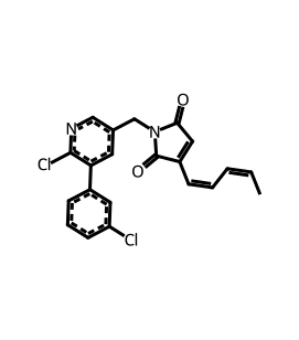 C/C=C\C=C/C1=CC(=O)N(Cc2cnc(Cl)c(-c3cccc(Cl)c3)c2)C1=O